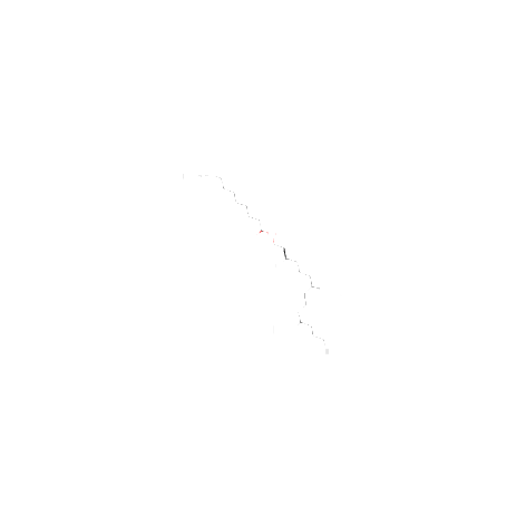 CCCCCCCCCCCCCCCCCC(=O)OC/C=C(\C)CCCC(C)CCCC(C)CCCC(C)C